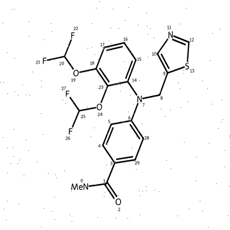 CNC(=O)c1ccc(N(Cc2cncs2)c2cccc(OC(F)F)c2OC(F)F)cc1